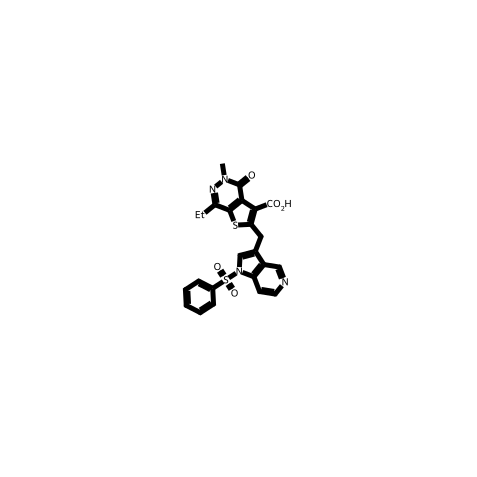 CCc1nn(C)c(=O)c2c(C(=O)O)c(Cc3cn(S(=O)(=O)c4ccccc4)c4ccncc34)sc12